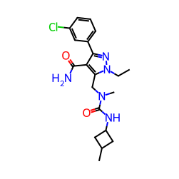 CCn1nc(-c2cccc(Cl)c2)c(C(N)=O)c1CN(C)C(=O)NC1CC(C)C1